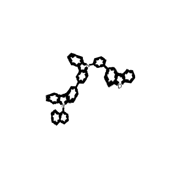 c1cc(-c2ccc3oc4ccccc4c3c2)cc(-n2c3ccccc3c3cc(-c4ccc5c(c4)c4ccccc4n5-c4cccc5ccccc45)ccc32)c1